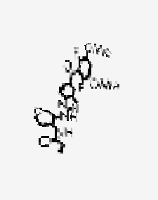 C=CC(=O)NC1CCOCC1Nc1ncc2cc(C(=O)c3c(F)c(OC)cc(OC)c3F)ccc2n1